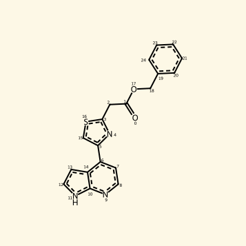 O=C(Cc1nc(-c2ccnc3[nH]ccc23)cs1)OCc1ccccc1